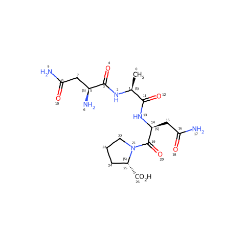 C[C@H](NC(=O)[C@@H](N)CC(N)=O)C(=O)N[C@@H](CC(N)=O)C(=O)N1CCC[C@H]1C(=O)O